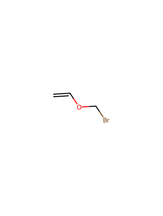 C=COCBr